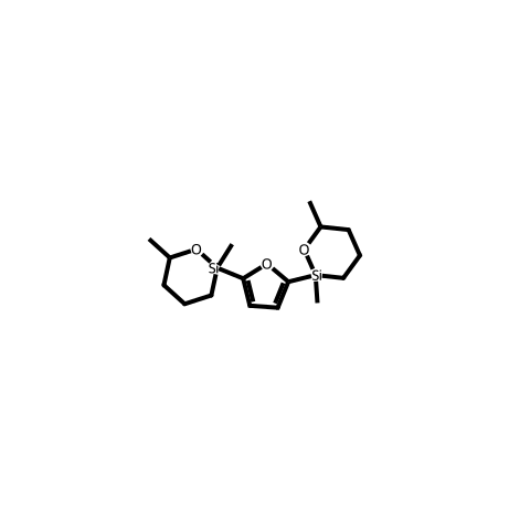 CC1CCC[Si](C)(c2ccc([Si]3(C)CCCC(C)O3)o2)O1